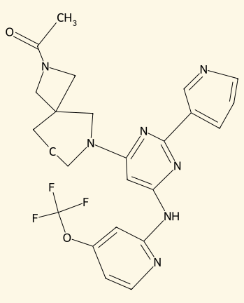 CC(=O)N1CC2(CCCN(c3cc(Nc4cc(OC(F)(F)F)ccn4)nc(-c4cccnc4)n3)C2)C1